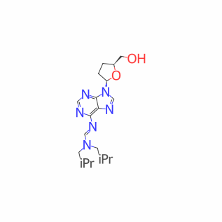 CC(C)CN(/C=N/c1ncnc2c1ncn2[C@H]1CC[C@@H](CO)O1)CC(C)C